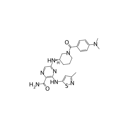 Cc1cc(Nc2nc(N[C@@H]3CCCN(C(=O)c4ccc(N(C)C)cc4)C3)cnc2C(N)=O)sn1